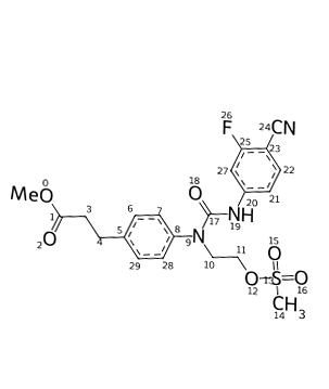 COC(=O)CCc1ccc(N(CCOS(C)(=O)=O)C(=O)Nc2ccc(C#N)c(F)c2)cc1